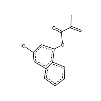 C=C(C)C(=O)Oc1cc(O)cc2ccccc12